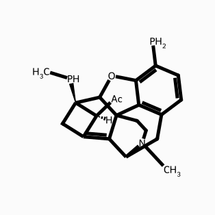 CP[C@@]12CC(=C3C4Cc5ccc(P)c6c5C3(CCN4C)C1O6)[C@@H]2C(C)=O